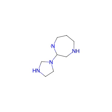 C1C[N]C(N2CCNC2)CNC1